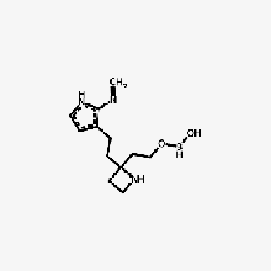 C=Nc1[nH]ccc1CCC1(CCOBO)CCN1